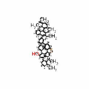 C=Cc1cccc(-c2cc(O)c(-c3ccccc3)c3c2ccc2sc4ccc(-c5cccc(-c6c(C=C)c(C=C)c(C7=CC=CC(C=C)C7C=C)c7ccccc67)c5)cc4c23)c1C=C